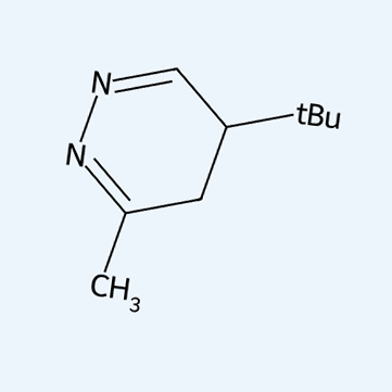 CC1=NN=CC(C(C)(C)C)C1